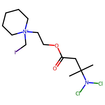 CC(C)(CC(=O)OCC[N+]1(CI)CCCCC1)N(Cl)Cl